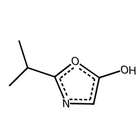 CC(C)c1ncc(O)o1